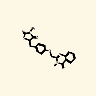 C=C1c2ccccc2N=C(COc2ccc(CC3SC(=O)N(C(C)C)C3=O)cc2)N1C